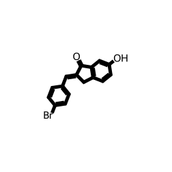 O=C1/C(=C/c2ccc(Br)cc2)Cc2ccc(O)cc21